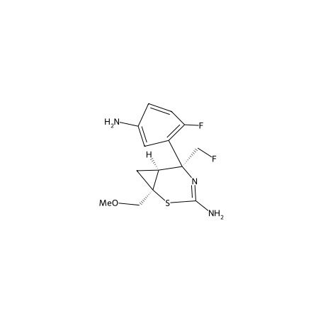 COC[C@]12C[C@H]1[C@@](CF)(c1cc(N)ccc1F)N=C(N)S2